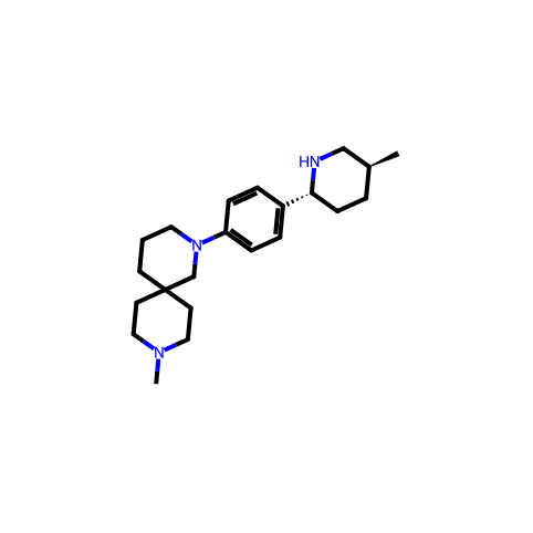 C[C@H]1CC[C@H](c2ccc(N3CCCC4(CCN(C)CC4)C3)cc2)NC1